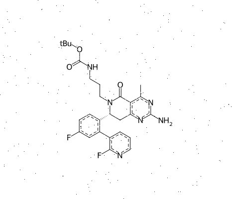 Cc1nc(N)nc2c1C(=O)N(CCCNC(=O)OC(C)(C)C)[C@@H](c1ccc(F)cc1-c1cccnc1F)C2